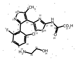 Cc1onc(-c2c(F)cccc2Cl)c1-c1csc(NC(=O)C(=O)O)n1.NCCO